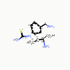 NC(N)=S.NCc1ccccc1.N[C@@H](CC(=O)O)C(=O)O